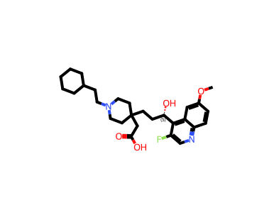 COc1ccc2ncc(F)c([C@@H](O)CCC3(CC(=O)O)CCN(CCC4CCCCC4)CC3)c2c1